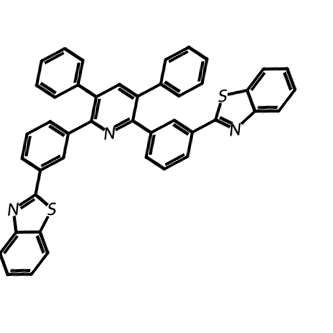 c1ccc(-c2cc(-c3ccccc3)c(-c3cccc(-c4nc5ccccc5s4)c3)nc2-c2cccc(-c3nc4ccccc4s3)c2)cc1